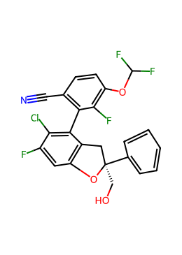 N#Cc1ccc(OC(F)F)c(F)c1-c1c(Cl)c(F)cc2c1C[C@@](CO)(c1ccccc1)O2